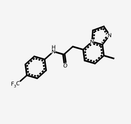 Cc1ccc(CC(=O)Nc2ccc(C(F)(F)F)cc2)n2ccnc12